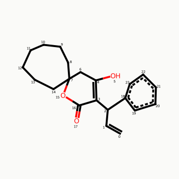 C=CC(C1=C(O)CC2(CCCCCCC2)OC1=O)c1ccccc1